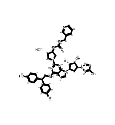 CCc1nnn([C@H]2C[C@@H](n3cnc4c(NCC(c5ccc(O)cc5)c5ccc(O)cc5)nc(N5CCC(NC(=O)NCc6cccnc6)C5)nc43)[C@H](O)[C@@H]2O)n1.Cl